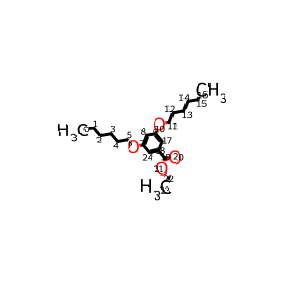 CCCCCCOc1cc(OCCCCCC)cc(C(=O)OCC)c1